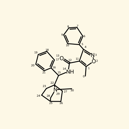 Cc1onc(-c2ccccc2)c1C(=O)NC(c1ccccc1)C12CCC(CC1)CN2C